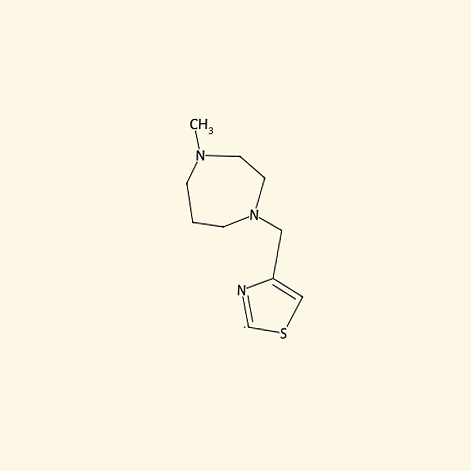 CN1CCCN(Cc2cs[c]n2)CC1